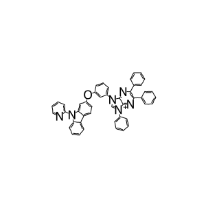 c1ccc(-c2nc3c(nc2-c2ccccc2)[n+](-c2ccccc2)cn3-c2cccc(Oc3ccc4c5ccccc5n(-c5ccccn5)c4c3)c2)cc1